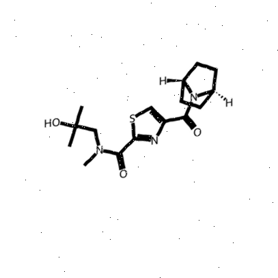 CN(CC(C)(C)O)C(=O)c1nc(C(=O)N2[C@H]3CC[C@H]2CC3)cs1